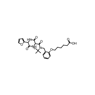 [2H]C(C)(C)N(Cc1ccccc1OCCCCCC(=O)O)C(=O)C1NC(=O)C(c2ccco2)NC1=O